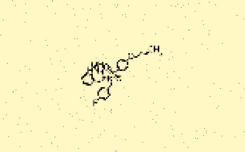 C=CCCOc1ccc(S(=O)(=O)N(Cc2ccc(F)cc2)[C@H](Cc2ccccc2)C(=O)NO)cc1